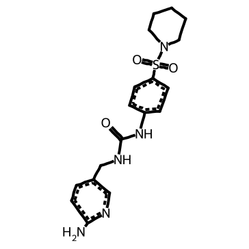 Nc1ccc(CNC(=O)Nc2ccc(S(=O)(=O)N3CCCCC3)cc2)cn1